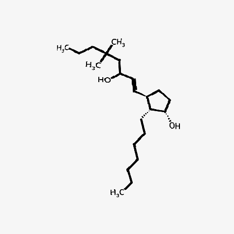 CCCCCCC[C@H]1[C@@H](O)CC[C@@H]1/C=C/C(O)CC(C)(C)CCC